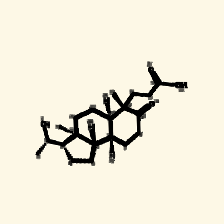 C[C@H](O)[C@H]1CC[C@H]2[C@@H]3CCC(=O)[C@@](C)(CCC(=O)O)[C@@H]3CC[C@]12C